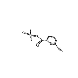 CS(C)(=O)=NC(=O)c1cccc(N)c1